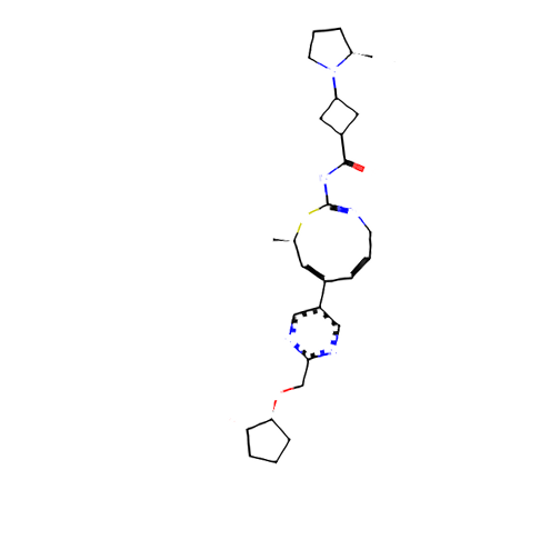 C[C@@H]1/C=C(c2cnc(CO[C@H]3CCC[C@@H]3O)nc2)\C=C/C/N=C(/NC(=O)C2CC(N3CCC[C@H]3C)C2)S1